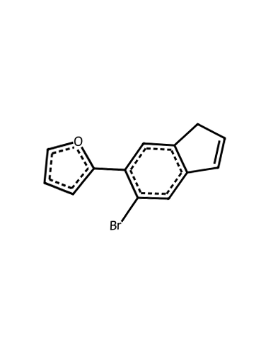 Brc1cc2c(cc1-c1ccco1)CC=C2